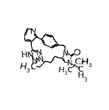 CCCCCc1cn(C(C)(C)C)c(=O)n1Cc1ccc(-c2ncccc2-c2nnn[nH]2)cc1